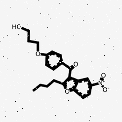 CCCCc1oc2ccc([N+](=O)[O-])cc2c1C(=O)c1ccc(OCCCO)cc1